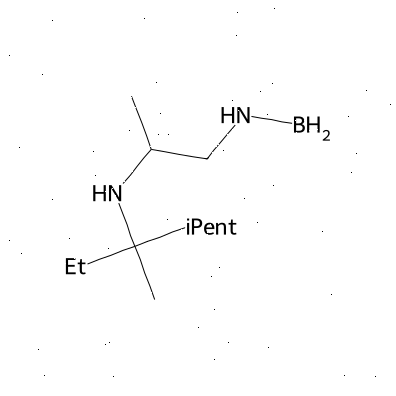 BNCC(C)NC(C)(CC)C(C)CCC